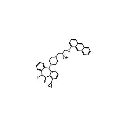 O[C@H](COc1cccc2cc3ccccc3cc12)CN1CCN(C2c3ccccc3C(F)C(F)c3c(C4CC4)cccc32)CC1